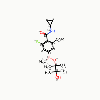 COc1cc(B(C)OC(C)(C)C(C)(C)O)cc(F)c1C(=O)NC1CC1